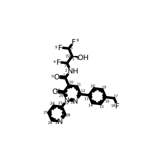 O=C(NC(F)[C@H](O)C(F)F)c1cc(-c2ccc(CF)cc2)nn(-c2cccnc2)c1=O